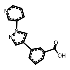 O=C(O)c1cccc(-c2cnn(-c3cccnc3)c2)c1